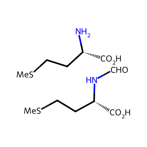 CSCC[C@H](N)C(=O)O.CSCC[C@H](NC=O)C(=O)O